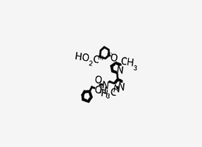 Cc1nc(-c2cnn(C)c2CNC(=O)OCc2ccccc2)ccc1O[C@H]1CCC[C@H](C(=O)O)C1